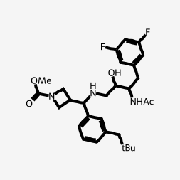 COC(=O)N1CC(C(NCC(O)C(Cc2cc(F)cc(F)c2)NC(C)=O)c2cccc(CC(C)(C)C)c2)C1